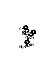 Nc1n[nH]c2cc(C(=O)NC(Cc3ccccc3)C(=O)NC(Cc3cccc(Cl)c3)n3cnnn3)ccc12